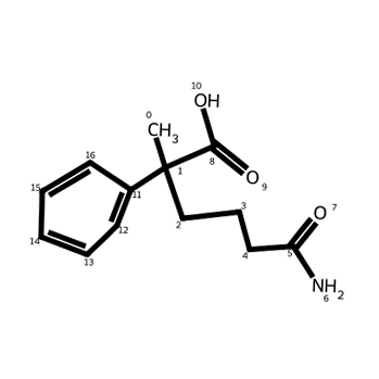 CC(CCCC(N)=O)(C(=O)O)c1ccccc1